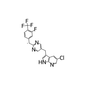 Fc1cc([CH]c2ncc(Cc3c[nH]c4ncc(Cl)cc34)cn2)ccc1C(F)(F)F